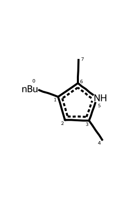 CCCCc1cc(C)[nH]c1C